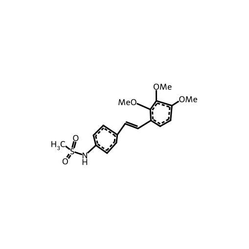 COc1ccc(C=Cc2ccc(NS(C)(=O)=O)cc2)c(OC)c1OC